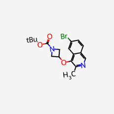 Cc1ncc2ccc(Br)cc2c1OC1CN(C(=O)OC(C)(C)C)C1